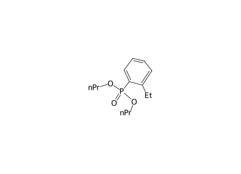 CCCOP(=O)(OCCC)c1ccccc1CC